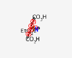 CCOC(=O)C1=NN(c2ccccc2)C(=O)C1=C1Sc2c(OC(=O)C3CCC(OC(=O)C4CCC(C(=O)O)CC4)CC3)ccc(OC(=O)C3CCC(OC(=O)C4CCC(C(=O)O)CC4)CC3)c2S1